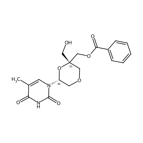 Cc1cn([C@H]2COC[C@@](CO)(COC(=O)c3ccccc3)O2)c(=O)[nH]c1=O